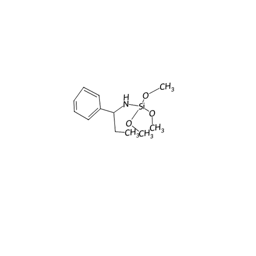 CCC(N[Si](OC)(OC)OC)c1ccccc1